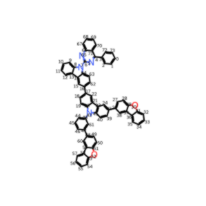 c1ccc(-c2nc(-n3c4ccccc4c4cc(-c5ccc6c(c5)c5cc(-c7ccc8oc9ccccc9c8c7)ccc5n6-c5cccc(-c6ccc7oc8ccccc8c7c6)c5)ccc43)nc3ccccc23)cc1